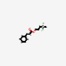 C[Si](F)(F)CCCOC(=O)CCC1CCCCC1